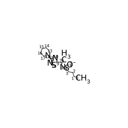 CCCC[S@@+]([O-])/N=C(\C)c1nc(N2CCCCC2)ns1